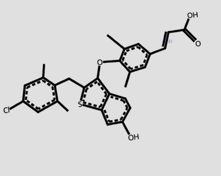 Cc1cc(Cl)cc(C)c1Cc1sc2cc(O)ccc2c1Oc1c(C)cc(/C=C/C(=O)O)cc1C